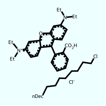 CCCCCCCCCCCCCCCCCCCl.CCN(CC)c1ccc2c(-c3ccccc3C(=O)O)c3ccc(=[N+](CC)CC)cc-3oc2c1.[Cl-]